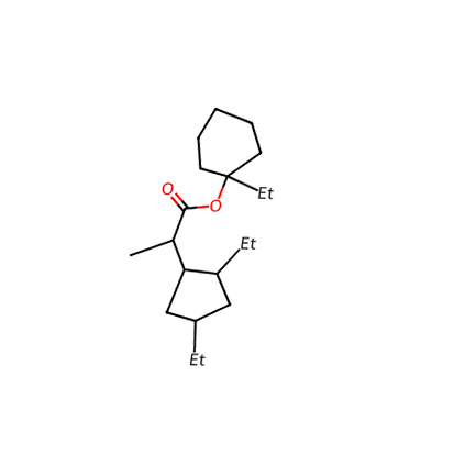 CCC1CC(CC)C(C(C)C(=O)OC2(CC)CCCCC2)C1